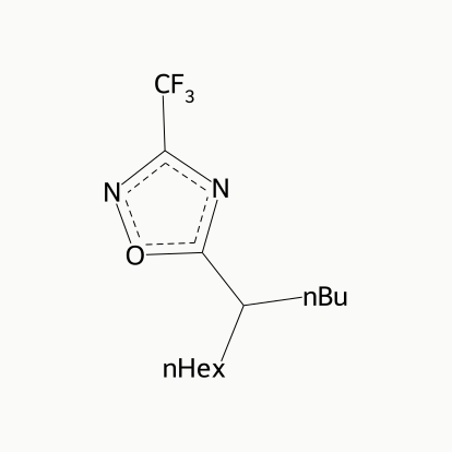 CCCCCCC(CCCC)c1nc(C(F)(F)F)no1